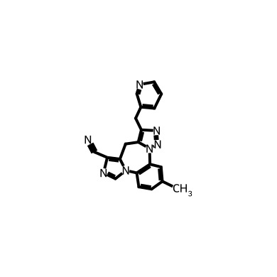 Cc1ccc2c(c1)-n1nnc(Cc3cccnc3)c1Cc1c(C#N)ncn1-2